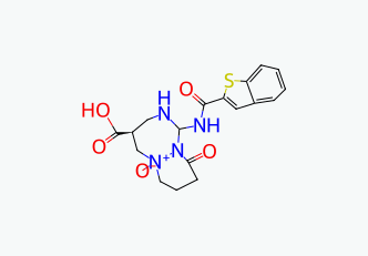 O=C(NC1NC[C@H](C(=O)O)C[N+]2([O-])CCCC(=O)N12)c1cc2ccccc2s1